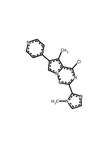 Cc1c(-c2ccncc2)cn2nc(-c3nccn3C)nc(Cl)c12